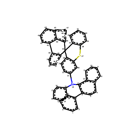 c1ccc(-c2ccc3ccccc3c2N(c2ccccc2)c2ccc3c(c2)Sc2ccccc2C32c3ccccc3-c3cccc4cccc2c34)cc1